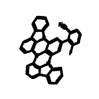 N#Cc1cccc(F)c1-c1cc2c3c(c1)-n1c4ccccc4c4cccc(c41)B3c1cccc3c4ccccc4n-2c13